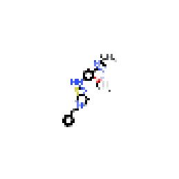 COc1cc(Nc2nc3c(s2)CN(CCc2ccccc2)CC3)ccc1-c1nc(C)c[nH]1